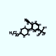 COC1CCN(c2nc(C(F)(F)F)ccc2C#N)CC1